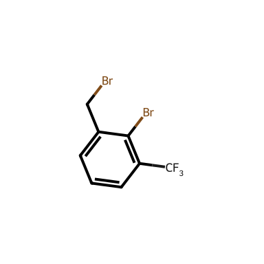 FC(F)(F)c1cccc(CBr)c1Br